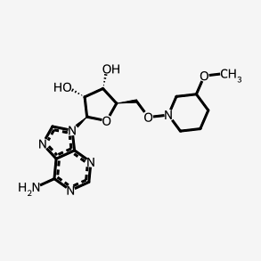 COC1CCCN(OC[C@H]2O[C@@H](n3cnc4c(N)ncnc43)[C@H](O)[C@@H]2O)C1